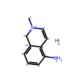 CN1C=Cc2c(N)cccc2C1.I